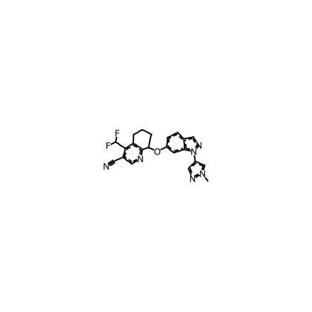 Cn1cc(-n2ncc3ccc(OC4CCCc5c4ncc(C#N)c5C(F)F)cc32)cn1